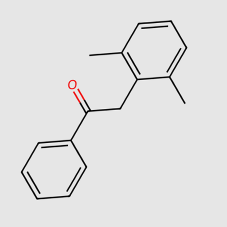 Cc1cccc(C)c1CC(=O)c1ccccc1